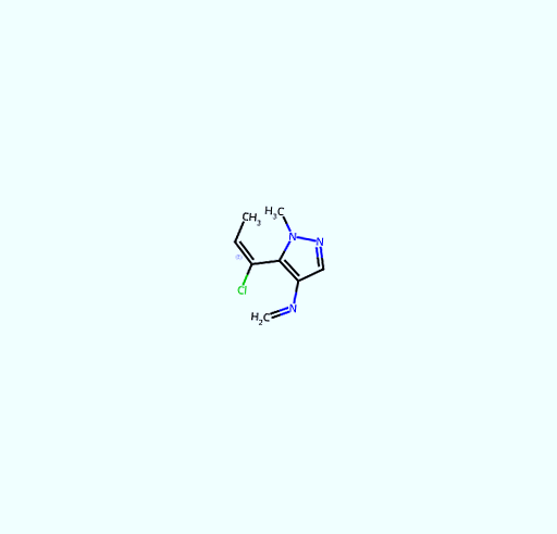 C=Nc1cnn(C)c1/C(Cl)=C\C